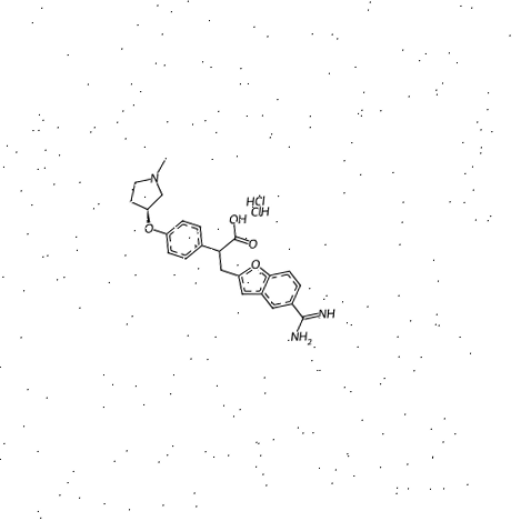 CN1CC[C@H](Oc2ccc(C(Cc3cc4cc(C(=N)N)ccc4o3)C(=O)O)cc2)C1.Cl.Cl